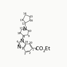 CCOC(=O)c1ccc2ncn(C3CCN(C4CCCC4)CC3)c2c1